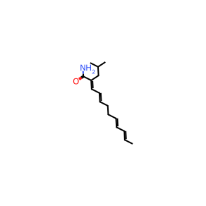 C/C=C/C=C/CC/C=C/C=C(\CC(C)C)C(N)=O